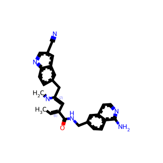 C=N/C(=C\C(=C/C)C(=O)NCc1ccc2c(N)nccc2c1)Cc1ccc2ncc(C#N)cc2c1